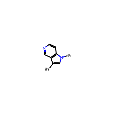 CC(C)c1cn(C(C)C)c2ccncc12